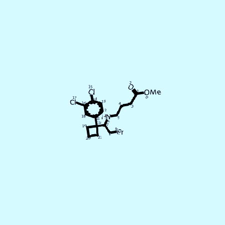 COC(=O)CCCNC(CC(C)C)C1(c2ccc(Cl)c(Cl)c2)CCC1